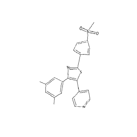 Cc1cc(C)cc(-c2nc(-c3ccc(S(C)(=O)=O)cc3)sc2-c2ccncc2)c1